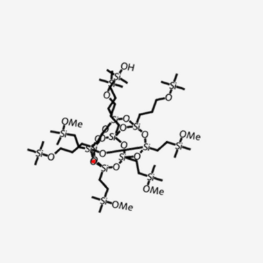 CO[Si](C)(C)CC[Si]12O[Si]3(CCCO[Si](C)(C)C)O[Si]4(CCCO[Si](C)(C)C)O[Si]5(CCC[Si](C)(C)O)O[Si](CCCO[Si](C)(C)C)(O3)O[Si](CC[Si](C)(C)OC)(O1)O[Si](CC[Si](C)(C)OC)(O5)O[Si](CC[Si](C)(C)OC)(O4)O2